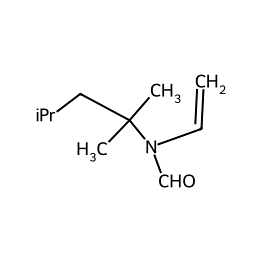 C=CN(C=O)C(C)(C)CC(C)C